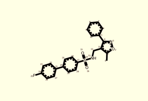 Cc1onc(-c2ccccc2)c1CNS(=O)(=O)c1ccc(-c2ccc(F)cc2)cc1